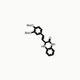 COc1ccc(/C=C/C2Nc3ccccc3NC2=O)cc1OC